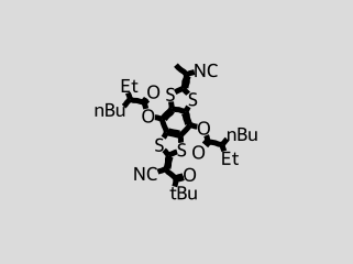 [C-]#[N+]C(C)=C1Sc2c(OC(=O)C(CC)CCCC)c3c(c(OC(=O)C(CC)CCCC)c2S1)SC(=C(C#N)C(=O)C(C)(C)C)S3